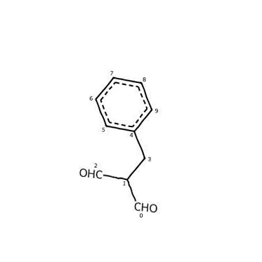 O=CC(C=O)Cc1ccccc1